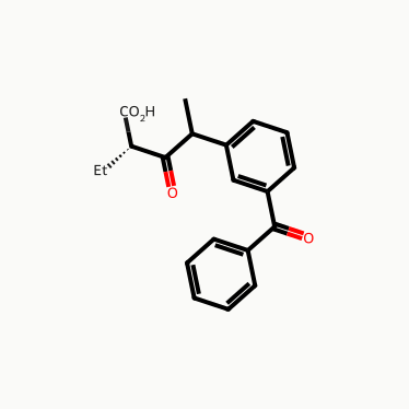 CC[C@H](C(=O)O)C(=O)C(C)c1cccc(C(=O)c2ccccc2)c1